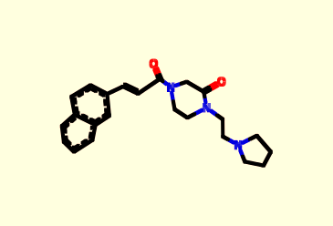 O=C(C=Cc1ccc2ccccc2c1)N1CCN(CCN2CCCC2)C(=O)C1